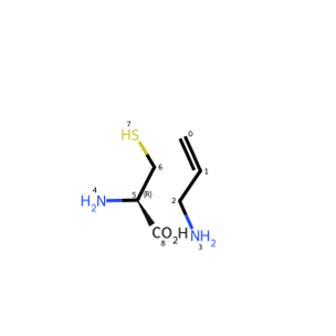 C=CCN.N[C@@H](CS)C(=O)O